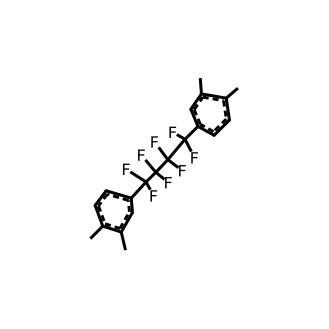 Cc1ccc(C(F)(F)C(F)(F)C(F)(F)C(F)(F)c2ccc(C)c(C)c2)cc1C